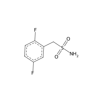 NS(=O)(=O)Cc1cc(F)ccc1F